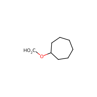 O=C(O)OC1CCCCCC1